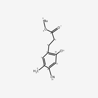 Cc1cc(CCC(=O)OC(C)(C)C)c(Cl)cc1C#N